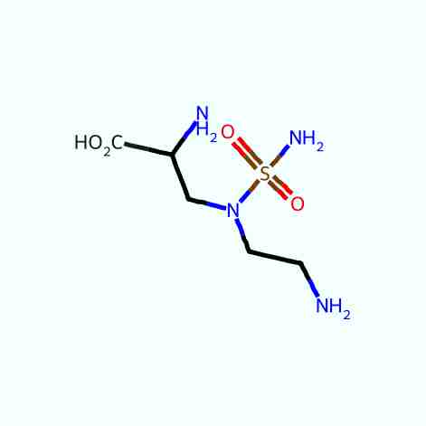 NCCN(CC(N)C(=O)O)S(N)(=O)=O